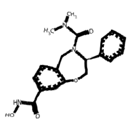 CN(C)C(=O)N1Cc2ccc(C(=O)NO)cc2OC[C@@H]1c1ccccc1